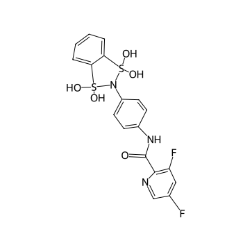 O=C(Nc1ccc(N2S(O)(O)c3ccccc3S2(O)O)cc1)c1ncc(F)cc1F